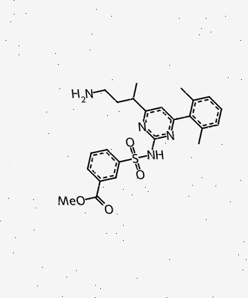 COC(=O)c1cccc(S(=O)(=O)Nc2nc(-c3c(C)cccc3C)cc(C(C)CCN)n2)c1